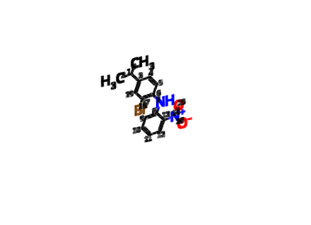 CC(C)c1ccc(Nc2ccccc2[N+](=O)[O-])c(Br)c1